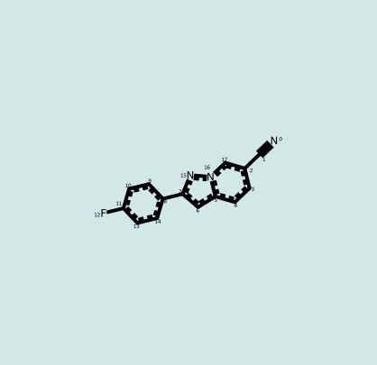 N#Cc1ccc2cc(-c3ccc(F)cc3)nn2c1